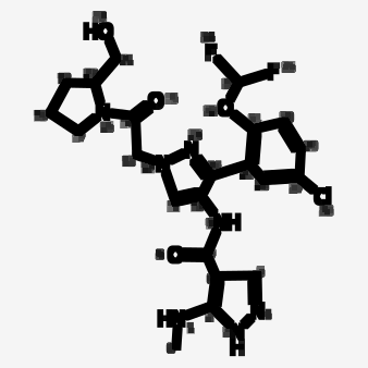 CNc1[nH]ncc1C(=O)Nc1cn(CC(=O)N2CCCC2CO)nc1-c1cc(Cl)ccc1OC(F)F